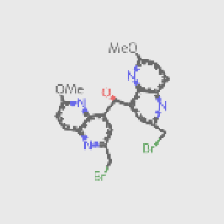 COc1ccc2nc(CBr)cc(C(=O)c3cc(CBr)nc4ccc(OC)nc34)c2n1